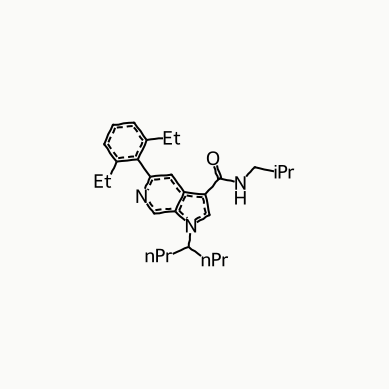 CCCC(CCC)n1cc(C(=O)NCC(C)C)c2cc(-c3c(CC)cccc3CC)ncc21